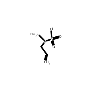 C=CCN(C(=O)O)S(=O)(=O)Cl